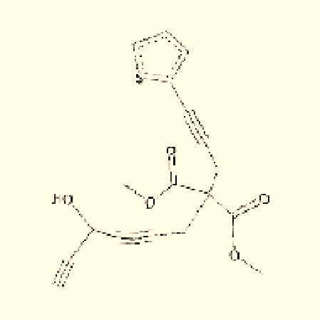 C#CC(O)C#CCC(CC#Cc1cccs1)(C(=O)OC)C(=O)OC